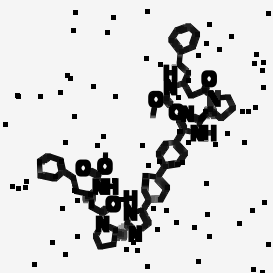 COC(=O)NC(CCc1ccccc1)CC(=O)N1CCC[C@H]1c1ncc(-c2ccc(-c3ccc(-c4cnc([C@@H]5CCCN5C(=O)C[C@@H](CCc5ccccc5)NC(=O)OC)[nH]4)cc3)cc2)[nH]1